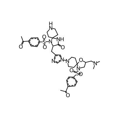 CC(=O)c1ccc(S(=O)(=O)N2C(Cc3cn(N4CCC5(CC4)OC(CN(C)C)CN5S(=O)(=O)c4ccc(C(C)=O)cc4)cn3)C(=O)NC23CCNCC3)cc1